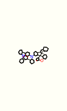 c1ccc(-c2ccccc2N(c2ccc3c(c2)C2(c4ccccc4Oc4ccccc42)c2cc4ccccc4cc2-3)c2ccc3c4ccccc4n(-c4ccccc4)c3c2)cc1